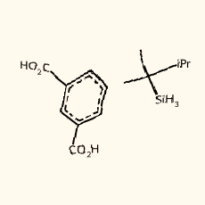 CC(C)C(C)(C)[SiH3].O=C(O)c1cccc(C(=O)O)c1